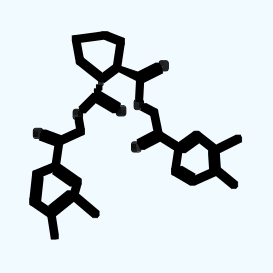 Cc1ccc(C(=O)COC(=O)[C@@H]2CCCC[C@H]2C(=O)OCC(=O)c2ccc(C)c(C)c2)cc1C